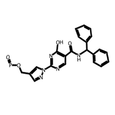 O=POCc1cnn(-c2ncc(C(=O)NC(c3ccccc3)c3ccccc3)c(O)n2)c1